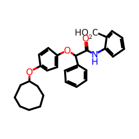 O=C(O)c1ccccc1NC(=O)C(Oc1ccc(OC2CCCCCCC2)cc1)c1ccccc1